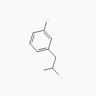 CCCCC(Cc1cccc(N)c1)C(=O)O